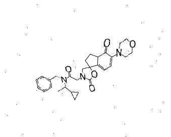 CC(C1CC1)N(Cc1ccccc1)C(=O)CN1CC2(CCC3C(=O)C(N4CCOCC4)=CC=C32)OC1=O